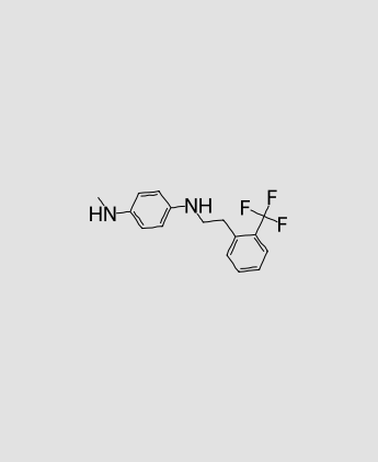 CNc1ccc(NCCc2ccccc2C(F)(F)F)cc1